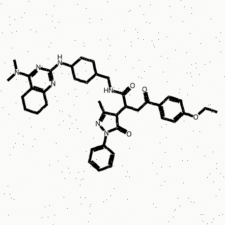 CCOc1ccc(C(=O)CC(C(=O)NCC2CCC(Nc3nc4c(c(N(C)C)n3)CCCC4)CC2)C2C(=O)N(c3ccccc3)N=C2C)cc1